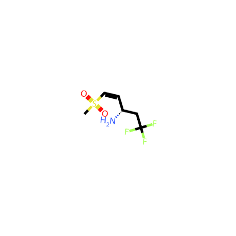 CS(=O)(=O)/C=C\[C@@H](N)CC(F)(F)F